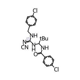 CC(C)(C)C(NC(=O)c1ccc(Cl)cc1)N/C(=N\C#N)NCc1ccc(Cl)cc1